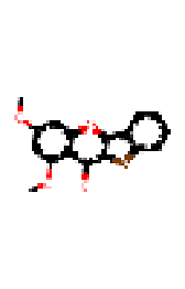 COc1cc(OC)c2c(=O)c3sc4ccccc4c3oc2c1